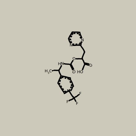 CC(NC(=O)OC(Cc1ncccn1)C(=O)O)c1ccc(C(F)(F)F)cc1